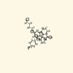 O=C(c1ccc(F)cc1)N1CCN2C(=O)c3ccccc3C12c1ccc(OCCCCCl)cc1